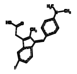 CC1=C(CC(=O)O)c2cc(F)ccc2C1=Cc1ccc(N(C)C)cc1